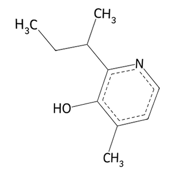 CCC(C)c1nccc(C)c1O